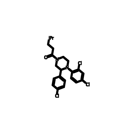 CC(C)CCC(=O)N1CCN(c2ccc(Cl)cc2Cl)C(c2ccc(Cl)cc2)C1